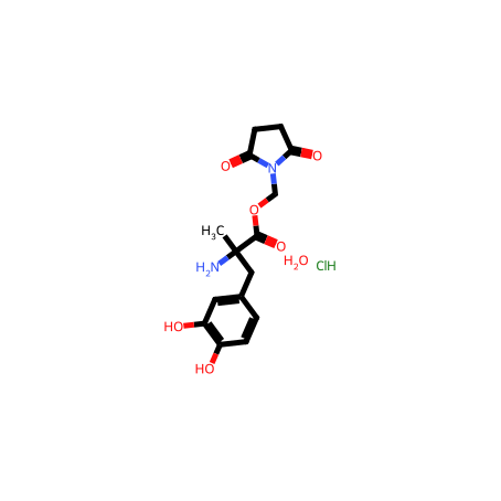 CC(N)(Cc1ccc(O)c(O)c1)C(=O)OCN1C(=O)CCC1=O.Cl.O